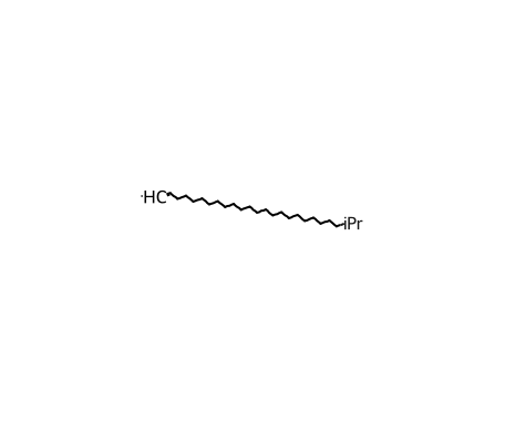 [CH]=CCCCCCCCCCCCCCCCCCCCCCC(C)C